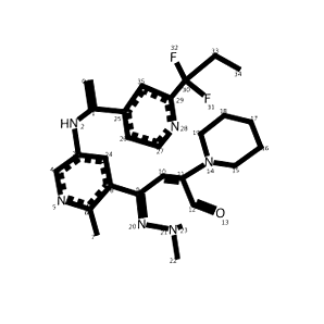 C=C(Nc1cnc(C)c(C(/C=C(\C=O)N2CCCCC2)=N/N(C)C)c1)c1ccnc(C(F)(F)CC)c1